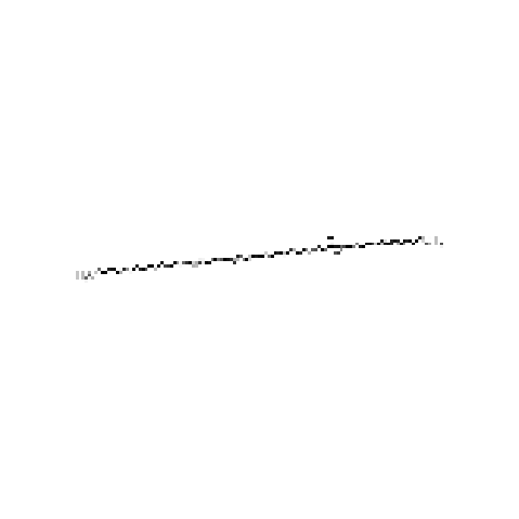 CCCCCCCCCCCCCCCCCCCCCCCCCCCCCCCCCCCCCC(=O)OCCCCCCCCCCCCCC